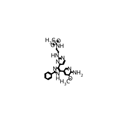 COC1C=C(c2[nH]c(-c3ccccc3)nc2-c2ccnc(NCCNS(C)(=O)=O)n2)C=NC1N